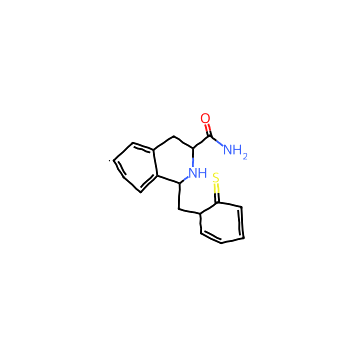 NC(=O)C1Cc2c[c]ccc2C(CC2C=CC=CC2=S)N1